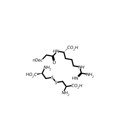 CCCCCCCCCCCC(=O)N[C@@H](CCCNC(=N)N)C(=O)O.NC(CSSC[C@H](N)C(=O)O)C(=O)O